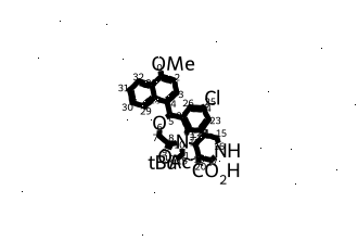 COc1ccc(C2OCC(=O)[N+](CC(C)(C)C)([C@@H]3CCNC[C@@]3(C(C)=O)C(=O)O)c3ccc(Cl)cc32)c2ccccc12